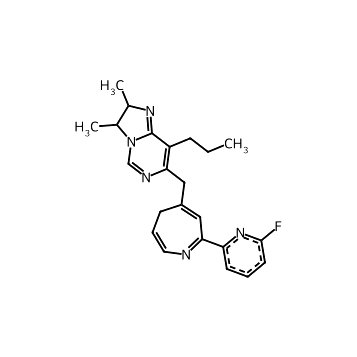 CCCC1=C(CC2=CC(c3cccc(F)n3)=NC=CC2)N=CN2C1=NC(C)C2C